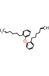 C=CCCCCc1ccccc1Oc1ccccc1CCCCC=C